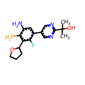 CC(C)(O)c1ncc(-c2cc(N)c(P)c(C3CCCO3)c2F)cn1